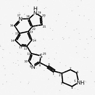 C(#CC1CCNCC1)c1ncc(-c2ccc3cnc4[nH]ccc4c3c2)s1